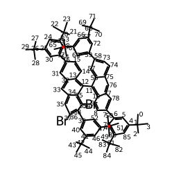 CC(C)(C)c1cc(-c2ccc3c(-c4c5ccc(-c6cc(C(C)(C)C)cc(C(C)(C)C)c6)cc5cc5cc(Br)c(-c6cc(C(C)(C)C)cc(C(C)(C)C)c6)c(Br)c45)c4cc(-c5cc(C(C)(C)C)cc(C(C)(C)C)c5)ccc4cc3c2)cc(C(C)(C)C)c1